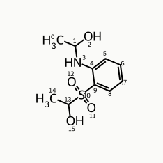 CC(O)Nc1cc[c]cc1S(=O)(=O)C(C)O